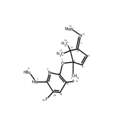 CCCCNc1nc(OC2(C)C=C/C(=N/NC)C2(C)C)c(F)cc1F